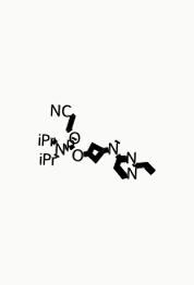 C=Cc1nccc(N(C)C2CC(OP(OCCC#N)N(C(C)C)C(C)C)C2)n1